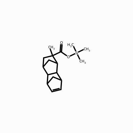 CC1(C(=O)O[Si](C)(C)C)CC2CC1C1C3C=CC(C3)C21